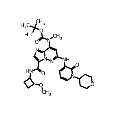 CO[C@H]1CCC1NC(=O)c1cnc2c(N(C)C(=O)OC(C)(C)C)cc(Nc3cccn(C4CCOCC4)c3=O)nn12